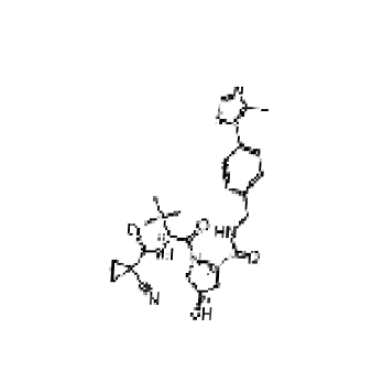 Cc1ncsc1-c1ccc(CNC(=O)[C@@H]2C[C@@H](O)CN2C(=O)[C@@H](NC(=O)C2(C#N)CC2)C(C)(C)C)cc1